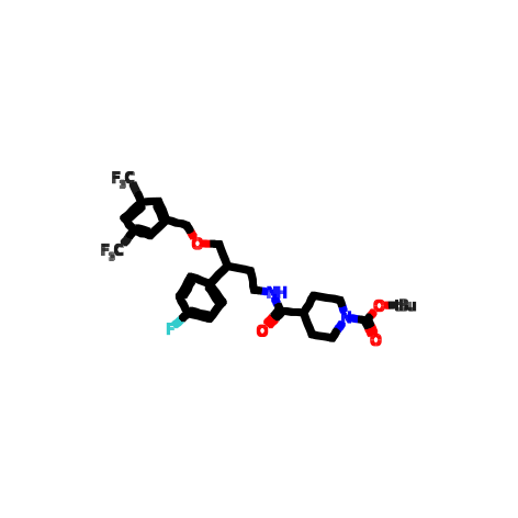 CC(C)(C)OC(=O)N1CCC(C(=O)NCCC(COCc2cc(C(F)(F)F)cc(C(F)(F)F)c2)c2ccc(F)cc2)CC1